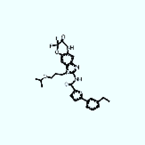 CCc1cccc(-c2ccc(C(=O)Nc3nc4cc5c(cc4n3CCCOC(C)C)OC(F)(F)C(=O)N5)s2)c1